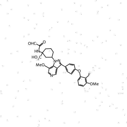 COc1cccc(Oc2ccc(-c3nn(C4CCCC(NC(=O)C=O)(C(=O)O)C4)c4c(OC)cncc34)cc2)c1F